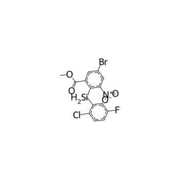 COC(=O)c1cc(Br)cc([N+](=O)[O-])c1[SiH2]c1cc(F)ccc1Cl